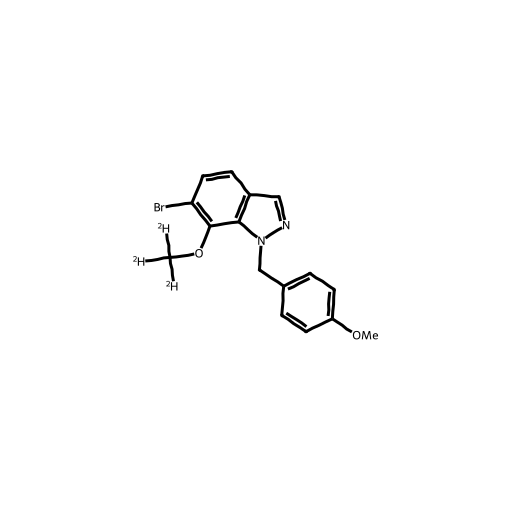 [2H]C([2H])([2H])Oc1c(Br)ccc2cnn(Cc3ccc(OC)cc3)c12